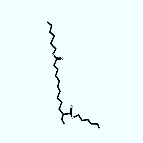 CCCCCCOC(=O)CCCCCCCCCC(CC)C(=O)OCCCCCC